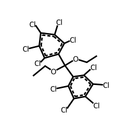 CCOC(OCC)(c1c(Cl)c(Cl)c(Cl)c(Cl)c1Cl)c1c(Cl)c(Cl)c(Cl)c(Cl)c1Cl